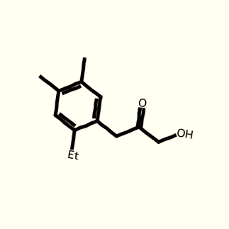 CCc1cc(C)c(C)cc1CC(=O)CO